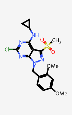 COc1ccc(Cn2nc(S(C)(=O)=O)c3c(NC4CC4)nc(Cl)nc32)c(OC)c1